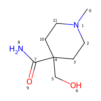 CN1CCC(CO)(C(N)=O)CC1